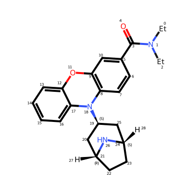 CCN(CC)C(=O)c1ccc2c(c1)Oc1ccccc1N2[C@@H]1C[C@H]2CC[C@@H](C1)N2